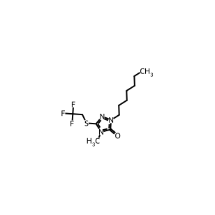 CCCCCCCn1nc(SCC(F)(F)F)n(C)c1=O